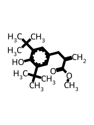 C=C(Cc1cc(C(C)(C)C)c(O)c(C(C)(C)C)c1)C(=O)OC